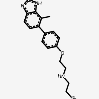 Cc1c(-c2ccc(OCCNCCC(C)C)cc2)ccc2nc[nH]c12